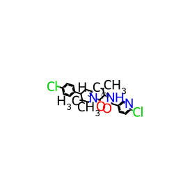 CC(C)[C@@H](NC(=O)c1ccc(Cl)nc1)C(=O)N1CCC(c2ccc(Cl)cc2)C(C)(C)C1